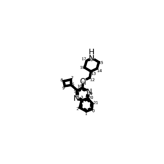 c1ccc2nc(C3CCC3)c(OCC3CCNCC3)nc2c1